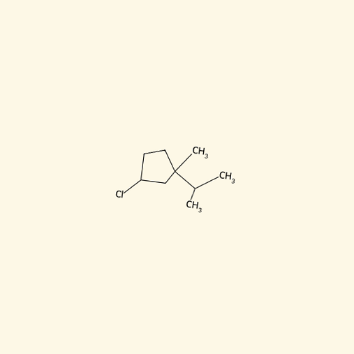 CC(C)C1(C)CCC(Cl)C1